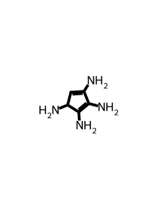 NC1=CC(N)C(N)=C1N